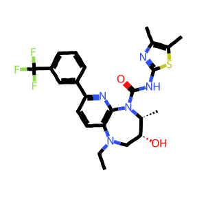 CCN1C[C@@H](O)[C@@H](C)N(C(=O)Nc2nc(C)c(C)s2)c2nc(-c3cccc(C(F)(F)F)c3)ccc21